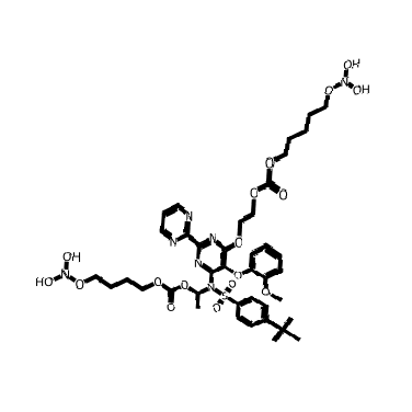 COc1ccccc1Oc1c(OCCOC(=O)OCCCCCON(O)O)nc(-c2ncccn2)nc1N(C(C)OC(=O)OCCCCON(O)O)S(=O)(=O)c1ccc(C(C)(C)C)cc1